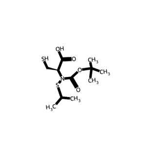 CC(C)SN(C(=O)OC(C)(C)C)[C@@H](CS)C(=O)O